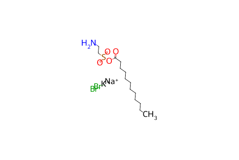 CCCCCCCCCCCC(=O)OS(=O)(=O)CCN.[Br-].[Br-].[K+].[Na+]